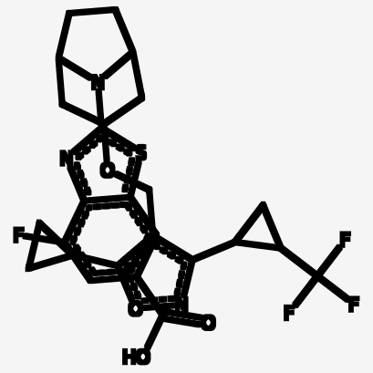 O=C(O)c1cc(F)c2nc(N3C4CCC3CC(OCc3c(C5CC5C(F)(F)F)noc3C3CC3)C4)sc2c1